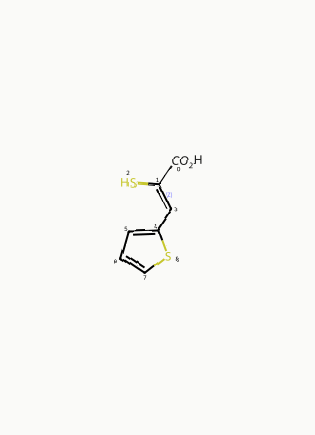 O=C(O)/C(S)=C/c1cccs1